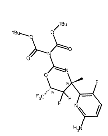 CC(C)(C)OC(=O)N(C(=O)OC(C)(C)C)C1=N[C@](C)(c2nc(N)ccc2F)C(F)(F)[C@H](C(F)(F)F)O1